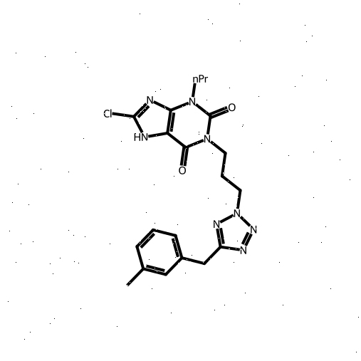 CCCn1c(=O)n(CCCn2nnc(Cc3cccc(C)c3)n2)c(=O)c2[nH]c(Cl)nc21